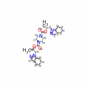 C[C@H](Cn1ncc2ccccc21)OC(=O)N1CCN(C(=O)O[C@H](C)Cn2ncc3ccccc32)CC1